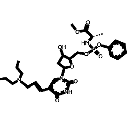 CCCN(C/C=C/c1cn(C2CC(O)C(COP(=O)(N[C@@H](C)C(=O)OC)Oc3ccccc3)O2)c(=O)[nH]c1=O)CCC